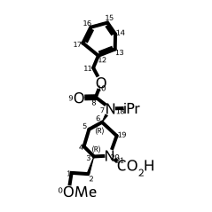 COCC[C@H]1CC[C@@H](N(C(=O)OCc2ccccc2)C(C)C)CN1C(=O)O